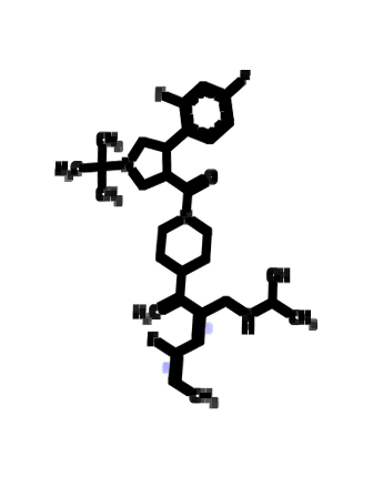 C=C(/C(=C\C(F)=C/C)CNC(C)O)C1CCN(C(=O)C2CN(C(C)(C)C)CC2c2ccc(F)cc2F)CC1